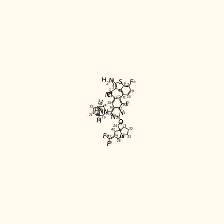 N#Cc1c(N)sc2c(F)ccc(-c3c(Cl)cc4c(N5C[C@H]6CC[C@@H](C5)N6)nc(OCC56CCCN5CC(=C(F)F)C6)nc4c3F)c12